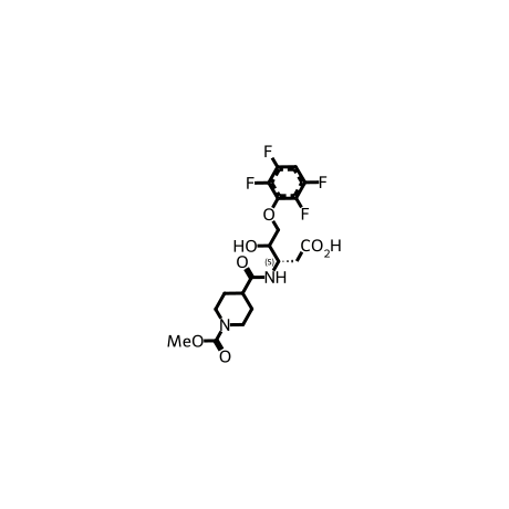 COC(=O)N1CCC(C(=O)N[C@@H](CC(=O)O)C(O)COc2c(F)c(F)cc(F)c2F)CC1